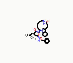 CC(C)C[C@H](CC(=O)NOCc1ccccc1)C(=O)NC1CCCCCNC(=O)CCC2CN1C1CCCCC21